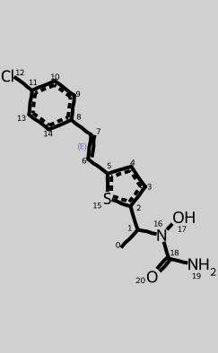 CC(c1ccc(/C=C/c2ccc(Cl)cc2)s1)N(O)C(N)=O